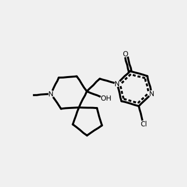 CN1CCC(O)(Cn2cc(Cl)ncc2=O)C2(CCCC2)C1